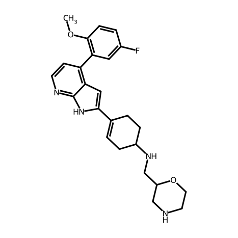 COc1ccc(F)cc1-c1ccnc2[nH]c(C3=CCC(NCC4CNCCO4)CC3)cc12